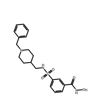 O=C(NO)c1cccc(S(=O)(=O)NCC2CCN(Cc3ccccc3)CC2)c1